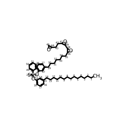 CCCCCCCCCCCCCCCc1cccc(OP(=S)(Oc2cccc(CCCCCCCC3OC3C3OC3CCC3CO3)c2)c2ccccc2)c1